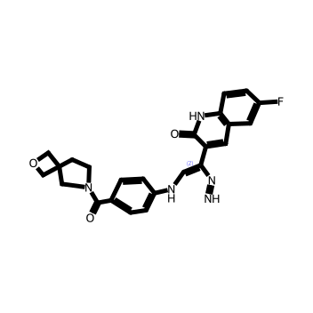 N=N/C(=C\Nc1ccc(C(=O)N2CCC3(COC3)C2)cc1)c1cc2cc(F)ccc2[nH]c1=O